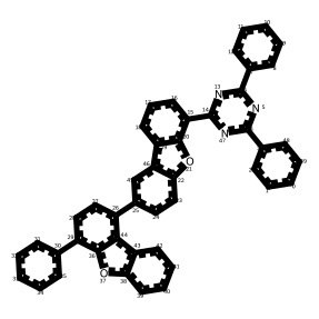 c1ccc(-c2nc(-c3ccccc3)nc(-c3cccc4c3oc3ccc(-c5ccc(-c6ccccc6)c6oc7ccccc7c56)cc34)n2)cc1